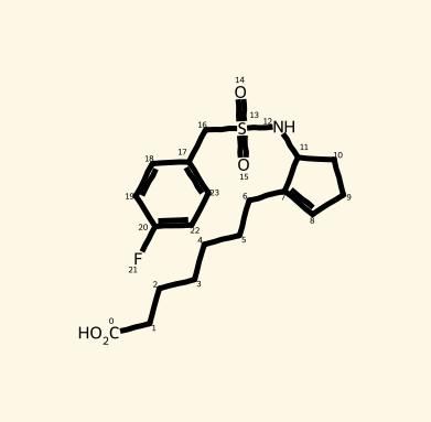 O=C(O)CCCCCCC1=CCCC1NS(=O)(=O)Cc1ccc(F)cc1